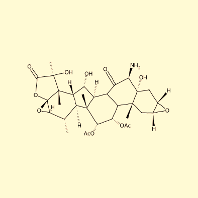 CC(=O)O[C@H]1C2C(C(=O)[C@@H](N)[C@@]3(O)C[C@@H]4O[C@@H]4C[C@]23C)[C@@H]2[C@@H](O)[C@@H]3[C@H]([C@H](C)[C@H]4O[C@]45OC(=O)[C@@](C)(O)[C@]35C)[C@@]2(C)[C@H]1OC(C)=O